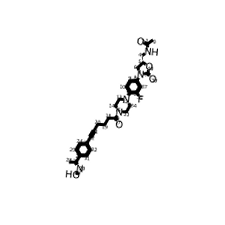 CC(=O)NC[C@H]1CN(c2ccc(N3CCN(C(=O)CCCC#Cc4ccc(C(C)=NO)cc4)CC3)c(F)c2)C(=O)O1